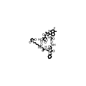 C=C1c2nc3cc(F)c(C)c4c3c(c2CN1C(=O)C1=C(C)[C@@](O)(CC)C(=O)OC1)[C@@H](NC(=O)COCNC(=O)CNC(=O)[C@H](Cc1ccccc1)NC(=O)CNC(=O)CNC(=O)CCCCCN1C(=O)C=CC1=O)CC4